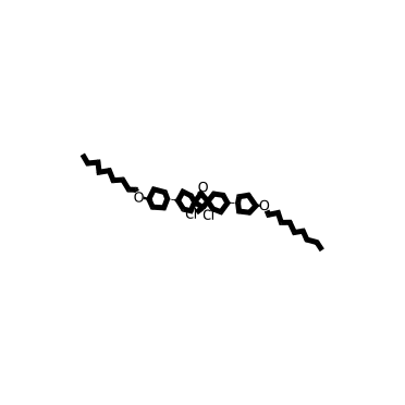 CCCCCCCCCO[C@H]1CC[C@H](C2CCC3(CC2)C(=O)C2(CCC([C@H]4CC[C@H](OCCCCCCCCC)CC4)CC2)C3(Cl)Cl)CC1